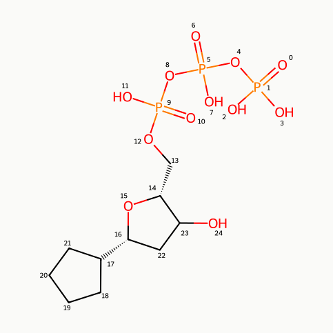 O=P(O)(O)OP(=O)(O)OP(=O)(O)OC[C@H]1O[C@@H](C2CCCC2)CC1O